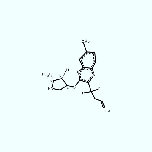 C=CCC(F)(F)c1nc2ccc(OC)cc2nc1O[C@H]1CN[C@H](C(=O)O)[C@@H]1CC